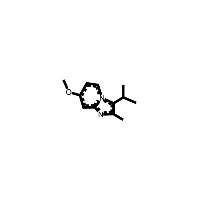 COc1ccn2c(C(C)C)c(C)nc2c1